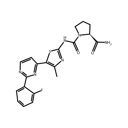 Cc1nc(NC(=O)N2CCC[C@H]2C(N)=O)sc1-c1ccnc(-c2ccccc2F)n1